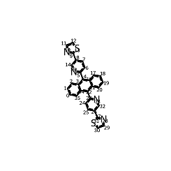 c1ccc2c(-c3ccc(-c4nccs4)cn3)c3ccccc3c(-c3ccc(-c4nccs4)cn3)c2c1